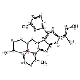 CC1CCC(Cn2c(N3CCOCC3C)nc3nc(C(N)=NO)nc(-c4cncc(Cl)c4)c32)CC1